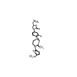 CC(=O)NCC1CN(c2ccc(N3CCN(c4ccc([N+](=O)[O-])o4)C(C)C3)c(F)c2)C(=O)O1